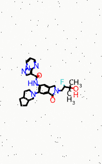 CC(C)(O)C(F)CN1Cc2cc(NC(=O)c3cnn4cccnc34)c(N3CCC4CCCC4C3)cc2C1=O